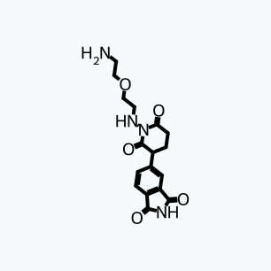 NCCOCCNN1C(=O)CCC(c2ccc3c(c2)C(=O)NC3=O)C1=O